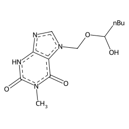 CCCCC(O)OCn1cnc2[nH]c(=O)n(C)c(=O)c21